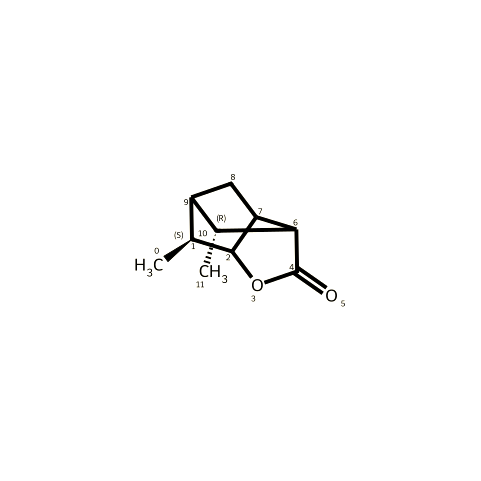 C[C@@H]1C2OC(=O)C3C2CC1[C@H]3C